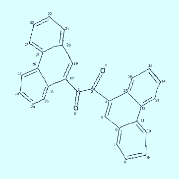 O=C(C(=O)c1cc2ccccc2c2ccccc12)c1cc2ccccc2c2ccccc12